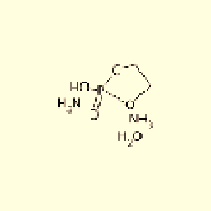 N.N.O.O=P1(O)OCCO1